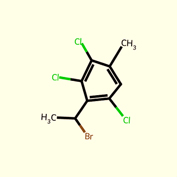 Cc1cc(Cl)c(C(C)Br)c(Cl)c1Cl